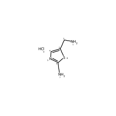 Cl.NCc1cnc(N)s1